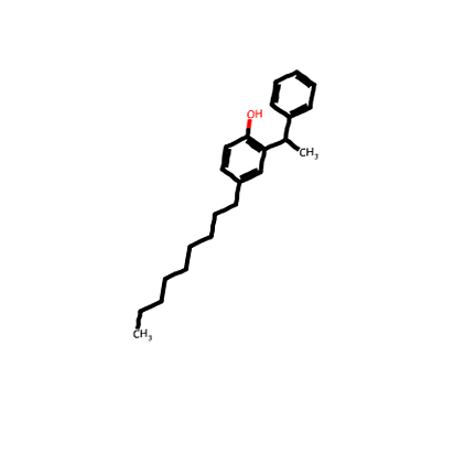 CCCCCCCCCc1ccc(O)c(C(C)c2ccccc2)c1